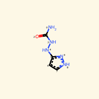 NC(=O)NNc1cc[nH]n1